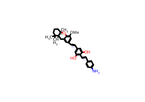 COc1cc(/C=C/c2cc(O)c(/C=C/c3ccc(N)cc3)c(O)c2)cc2c1O[C@]1(C)CCCC(C)(C)[C@H]1C2